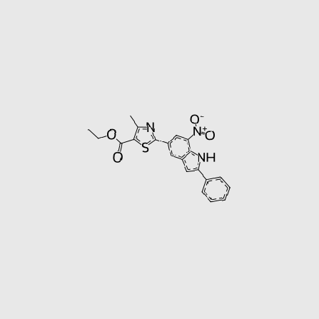 CCOC(=O)c1sc(-c2cc([N+](=O)[O-])c3[nH]c(-c4ccccc4)cc3c2)nc1C